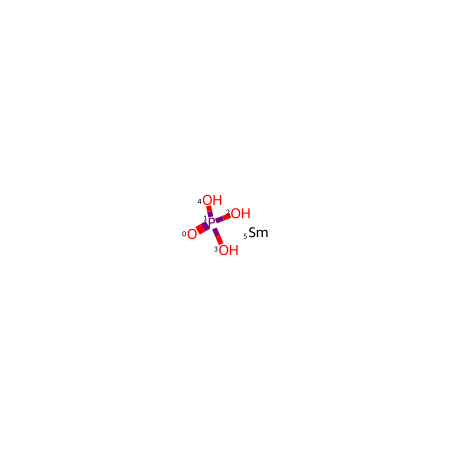 O=P(O)(O)O.[Sm]